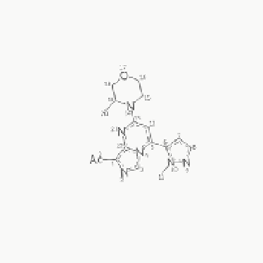 CC(=O)c1ncn2c(-c3ccnn3C)cc(N3CCOCC3C)nc12